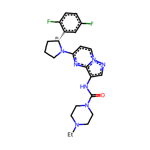 CCN1CCN(C(=O)Nc2cnn3ccc(N4CCC[C@@H]4c4cc(F)ccc4F)nc23)CC1